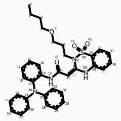 CCCCOCCCN1/C(=C\C(=O)Nc2ccccc2N(c2ccccc2)c2ccccc2)Nc2ccccc2S1(=O)=O